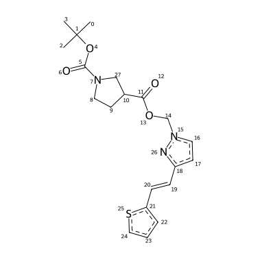 CC(C)(C)OC(=O)N1CCC(C(=O)OCn2ccc(C=Cc3cccs3)n2)C1